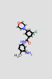 Cc1ccc(NC(=O)c2cc(F)cc(N3CCOCC3)c2)cc1N